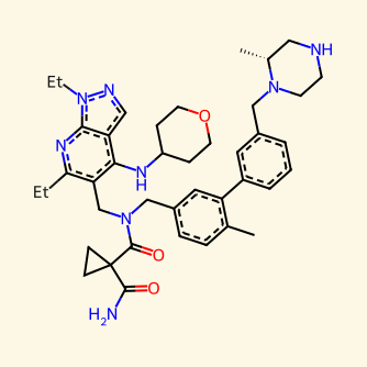 CCc1nc2c(cnn2CC)c(NC2CCOCC2)c1CN(Cc1ccc(C)c(-c2cccc(CN3CCNC[C@H]3C)c2)c1)C(=O)C1(C(N)=O)CC1